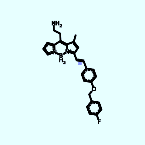 CC1=CC(/C=C/c2ccc(OCc3ccc(F)cc3)cc2)=[N+]2[BH2-]n3cccc3C(CCN)=C12